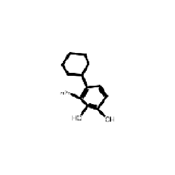 CCCc1c(C2CCCCC2)ccc(O)c1O